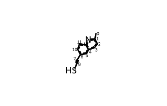 Cc1ccc2cc(C#CS)ccc2n1